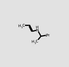 C/C=C/NC(C)C(C)C